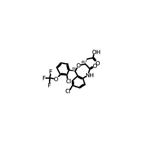 O=C(O)C[C@H]1O[C@H](c2cccc(OC(F)(F)F)c2Cl)c2cc(Cl)ccc2NC1=O